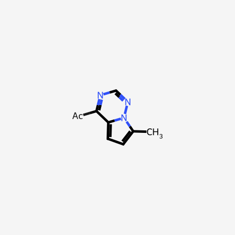 CC(=O)c1ncnn2c(C)ccc12